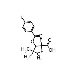 CC(C)(C)C(OC(=O)c1ccc(I)cc1)C(F)(F)C(=O)O